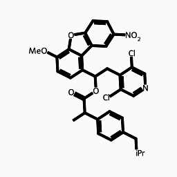 COc1ccc(C(Cc2c(Cl)cncc2Cl)OC(=O)C(C)c2ccc(CC(C)C)cc2)c2c1oc1ccc([N+](=O)[O-])cc12